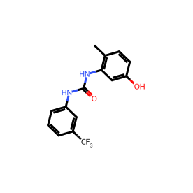 Cc1ccc(O)cc1NC(=O)Nc1cccc(C(F)(F)F)c1